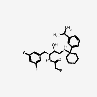 CC(C)c1cccc(C2(NC[C@H](O)[C@H](Cc3cc(F)cc(F)c3)NC(=O)CF)CCCCC2)c1